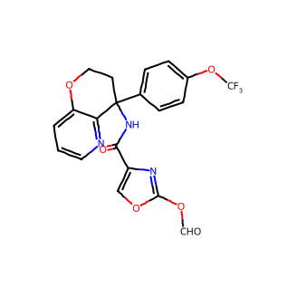 O=COc1nc(C(=O)NC2(c3ccc(OC(F)(F)F)cc3)CCOc3cccnc32)co1